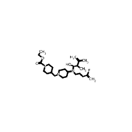 C=C(F)CCCN(C1CCN(CC2CCN(C(=O)OCC)CC2)CC1)C(O)C(C)C(=C)C